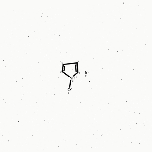 [Ir].[O-][NH+]1C=CC=C1